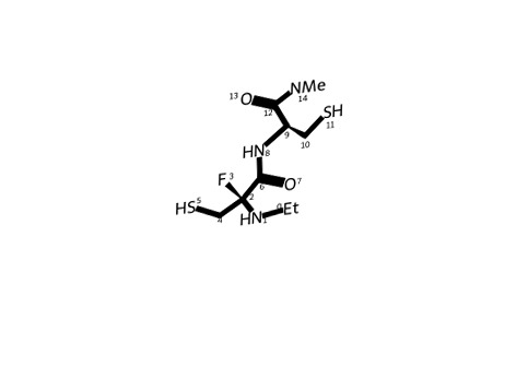 CCN[C@](F)(CS)C(=O)N[C@H](CS)C(=O)NC